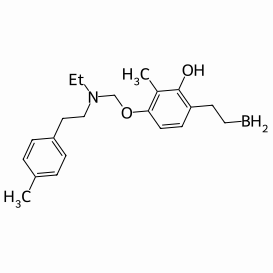 BCCc1ccc(OCN(CC)CCc2ccc(C)cc2)c(C)c1O